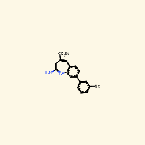 [C-]#[N+]c1cccc(-c2ccc3c(c2)N=C(N)CC(C(=O)OCC)=C3)c1